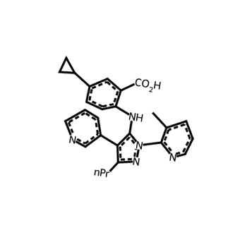 CCCc1nn(-c2ncccc2C)c(Nc2ccc(C3CC3)cc2C(=O)O)c1-c1cccnc1